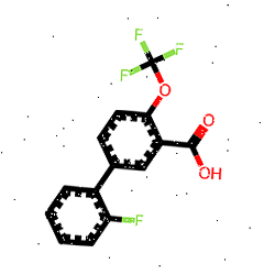 O=C(O)c1cc(-c2ccccc2F)ccc1OC(F)(F)F